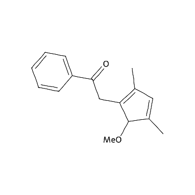 COC1C(C)=CC(C)=C1CC(=O)c1ccccc1